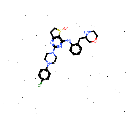 [O-][S+]1CCc2nc(N3CCN(c4ccc(Cl)cc4)CC3)nc(Nc3ccccc3CC3COCCN3)c21